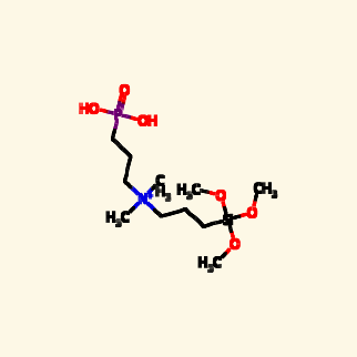 CO[Si](CCC[N+](C)(C)CCCP(=O)(O)O)(OC)OC